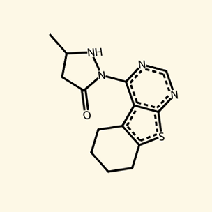 CC1CC(=O)N(c2ncnc3sc4c(c23)CCCC4)N1